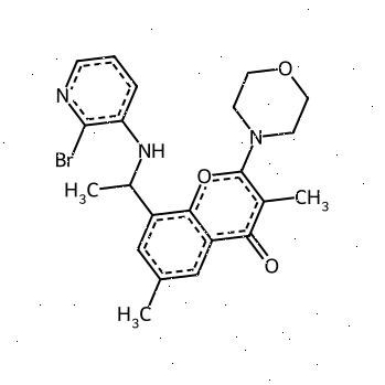 Cc1cc(C(C)Nc2cccnc2Br)c2oc(N3CCOCC3)c(C)c(=O)c2c1